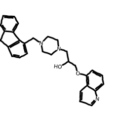 OC(COc1cccc2ncccc12)CN1CCN(Cc2cccc3c2-c2ccccc2C3)CC1